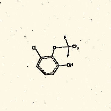 Oc1cccc(Cl)c1OC(F)(F)C(F)(F)F